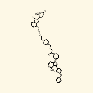 Nc1ncnc2c1c(-c1ccc(Oc3ccccc3)cc1)nn2[C@@H]1CCCN(C(=O)CCCN2CCN(CCOCCSc3cccc4c3CN(C3CCC(=O)NC3=O)C4=O)CC2)C1